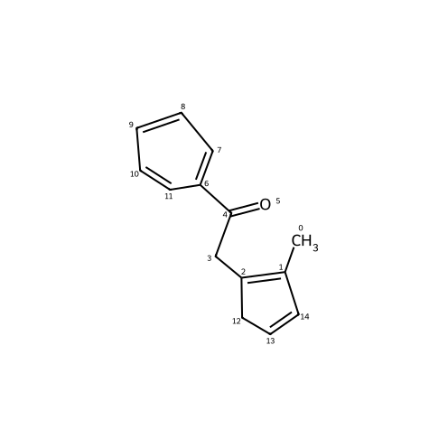 CC1=C(CC(=O)c2ccccc2)CC=C1